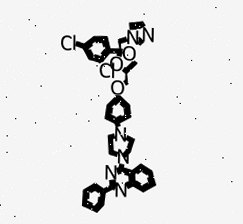 Clc1ccc([C@]2(Cn3ccnc3)OC[C@@H](COc3ccc(N4CCN(c5nc(-c6ccccc6)nc6ccccc56)CC4)cc3)O2)c(Cl)c1